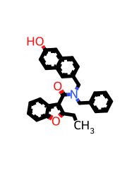 CCc1oc2ccccc2c1C(=O)N(Cc1ccccc1)Cc1ccc2cc(O)ccc2c1